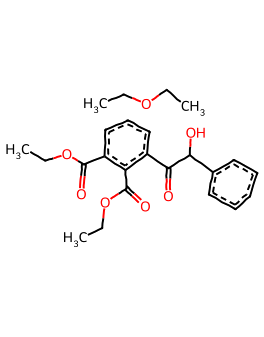 CCOC(=O)c1cccc(C(=O)C(O)c2ccccc2)c1C(=O)OCC.CCOCC